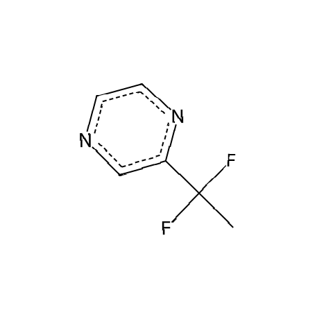 CC(F)(F)c1cnccn1